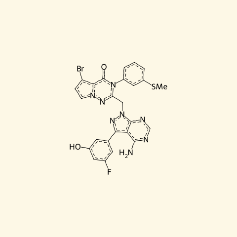 CSc1cccc(-n2c(Cn3nc(-c4cc(O)cc(F)c4)c4c(N)ncnc43)nn3ccc(Br)c3c2=O)c1